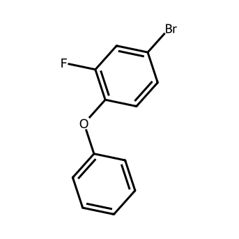 Fc1cc(Br)ccc1Oc1ccccc1